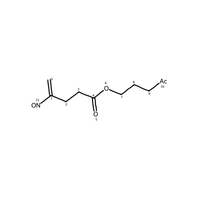 C=C(CCC(=O)OCCCC(C)=O)N=O